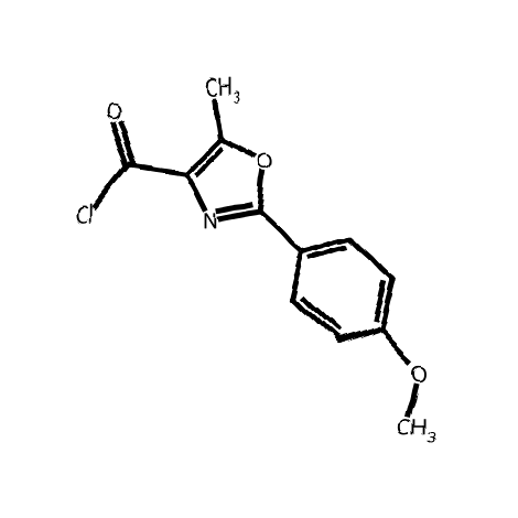 COc1ccc(-c2nc(C(=O)Cl)c(C)o2)cc1